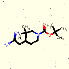 CC(C)(C)OC(=O)N1CCC(CC(=N)N)C(C)(C)C1